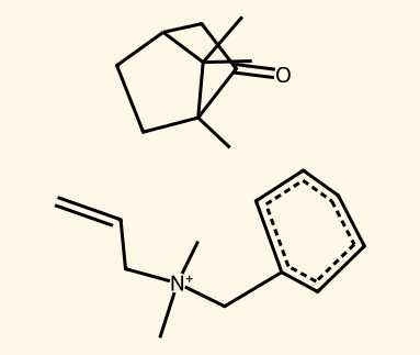 C=CC[N+](C)(C)Cc1ccccc1.CC12CCC(CC1=O)C2(C)C